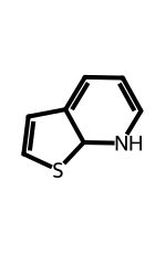 C1=CNC2SC=CC2=C1